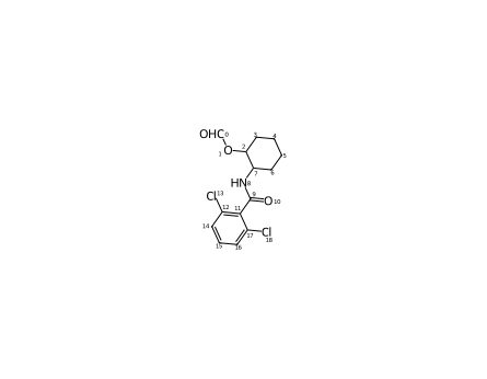 O=COC1CCCCC1NC(=O)c1c(Cl)cccc1Cl